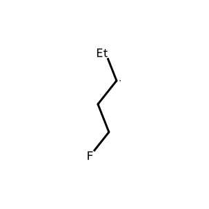 CC[CH]CCF